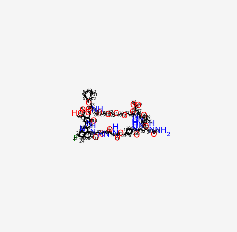 CC[C@@]1(O)C(=O)OCc2c1cc1n(c2=O)Cc2c-1nc1cc(F)c(C)c3c1c2[C@@H](NC(=O)COCNC(=O)CNC(=O)OCc1ccc(NC(=O)[C@H](CCCNC(N)=O)NC(=O)[C@@H](NC(=O)[C@H](CCC(=O)OC)NC(=O)CCOCCOCCOCCOCCNC(=O)COC2C#CCCCCC2)C(C)C)cc1)CC3